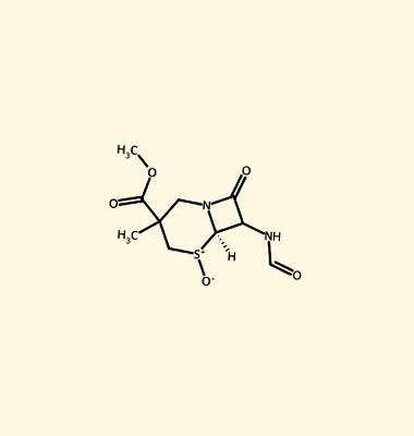 COC(=O)C1(C)CN2C(=O)C(NC=O)[C@H]2[S+]([O-])C1